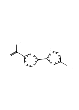 COC(=O)c1nnc(-c2nsc(C)n2)o1